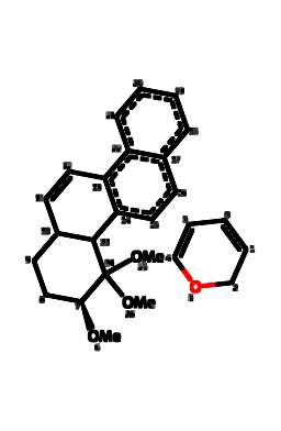 C1=CCOC=C1.CO[C@H]1CCC2C=Cc3c(ccc4ccccc34)C2C1(OC)OC